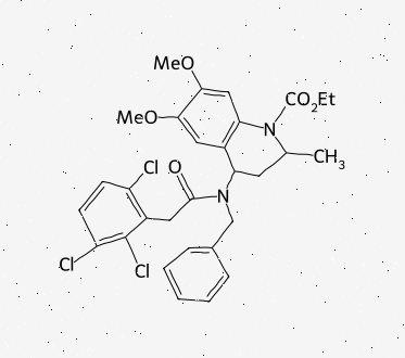 CCOC(=O)N1c2cc(OC)c(OC)cc2C(N(Cc2ccccc2)C(=O)Cc2c(Cl)ccc(Cl)c2Cl)CC1C